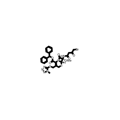 CO[C@@]1(NC(=O)CC(=O)CBr)C(=O)N2C(C(=O)OC(c3ccccc3)c3ccccc3)=C(CSc3nnnn3C)CS[C@H]21